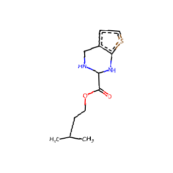 CC(C)CCOC(=O)C1NCc2ccsc2N1